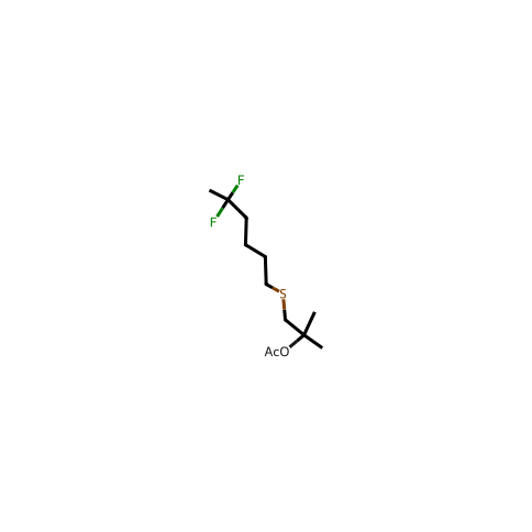 CC(=O)OC(C)(C)CSCCCCC(C)(F)F